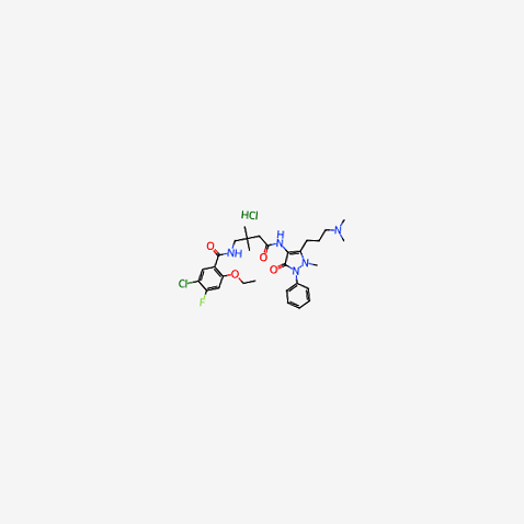 CCOc1cc(F)c(Cl)cc1C(=O)NCC(C)(C)CC(=O)Nc1c(CCCN(C)C)n(C)n(-c2ccccc2)c1=O.Cl